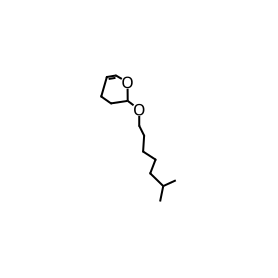 CC(C)CCCCCOC1CCC=CO1